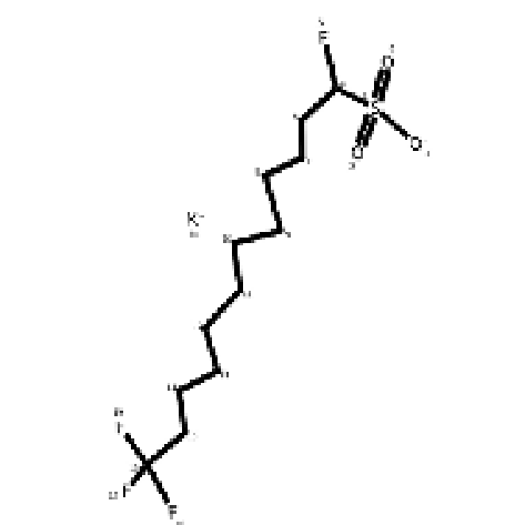 O=S(=O)([O-])C(F)CCCCCCCCCCC(F)(F)F.[K+]